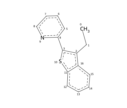 CCc1c(-c2ccccn2)sc2ccccc12